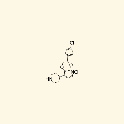 Cl.Clc1ccc([C@@H]2COc3c(cccc3C3CCNCC3)O2)cc1